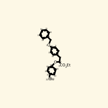 CCOC(=O)C(Cc1ccc(OCc2ccccc2)cc1)Oc1ccc(C(C)(C)C)cc1